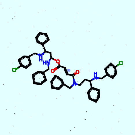 O=C(/C=C/C(=O)N(CCC(NCc1ccc(Cl)cc1)c1ccccc1)Cc1ccccc1)OC(CC(NCc1ccc(Cl)cc1)c1ccccc1)NCc1ccccc1